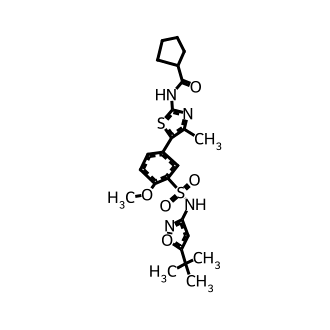 COc1ccc(-c2sc(NC(=O)C3CCCC3)nc2C)cc1S(=O)(=O)Nc1cc(C(C)(C)C)on1